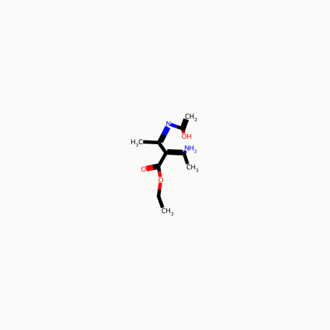 C=C(O)/N=C(C)\C(C(=O)OCC)=C(\C)N